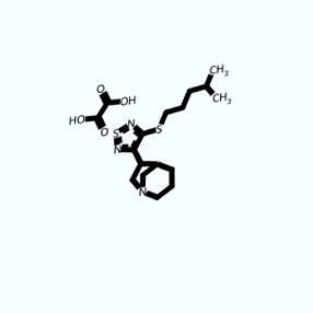 CC(C)CCCSc1nsnc1C1CN2CCCC1C2.O=C(O)C(=O)O